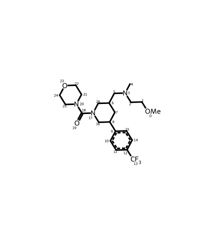 COCCN(C)CC1CC(c2ccc(C(F)(F)F)cc2)CN(C(=O)N2CCOCC2)C1